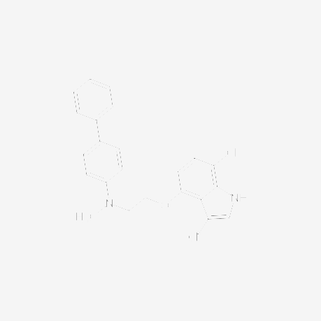 CN(CCOc1ccc(Cl)c2[nH]cc(Cl)c12)c1ccc(-c2ccccc2)cc1